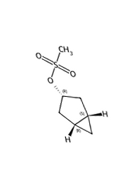 CS(=O)(=O)O[C@@H]1C[C@@H]2C[C@@H]2C1